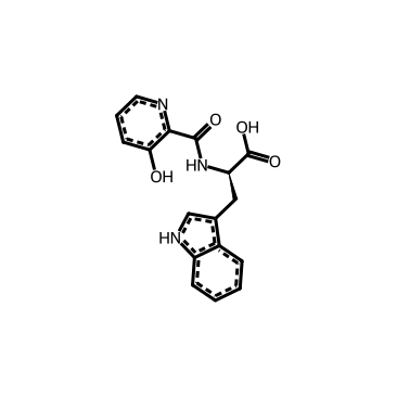 O=C(N[C@H](Cc1c[nH]c2ccccc12)C(=O)O)c1ncccc1O